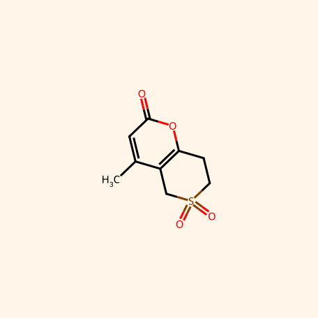 Cc1cc(=O)oc2c1CS(=O)(=O)CC2